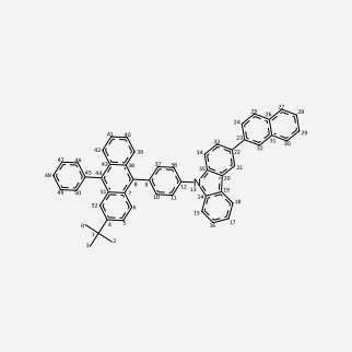 CC(C)(C)c1ccc2c(-c3ccc(-n4c5ccccc5c5cc(-c6ccc7ccccc7c6)ccc54)cc3)c3ccccc3c(-c3ccccc3)c2c1